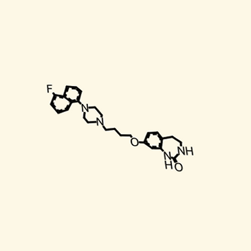 O=C1NCCc2ccc(OCCCCN3CCN(c4cccc5c(F)cccc45)CC3)cc2N1